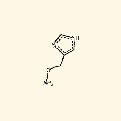 NOCc1c[nH]cn1